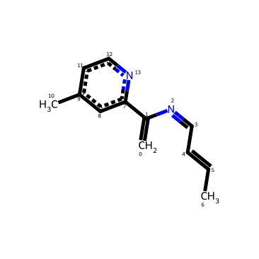 C=C(/N=C\C=C\C)c1cc(C)ccn1